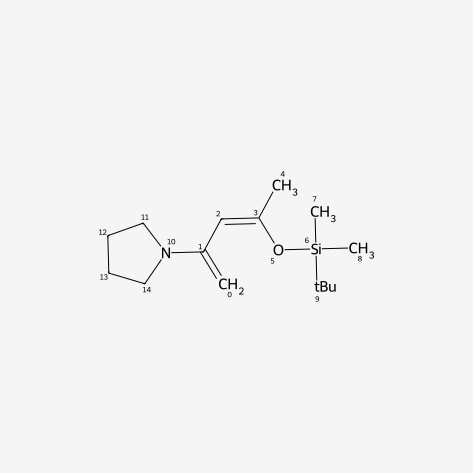 C=C(C=C(C)O[Si](C)(C)C(C)(C)C)N1CCCC1